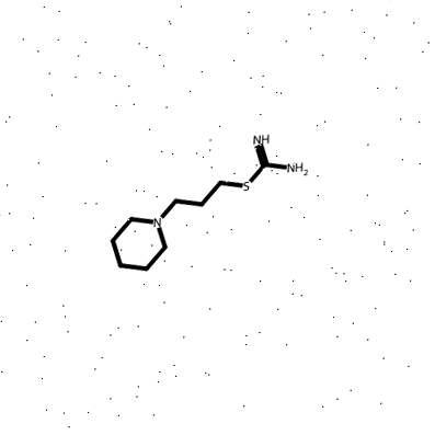 N=C(N)SCCCN1CCCCC1